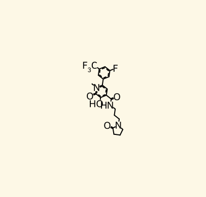 Cn1c(-c2cc(F)cc(C(F)(F)F)c2)cc(C(=O)NCCCN2CCCC2=O)c(O)c1=O